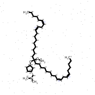 CCCCC/C=C\C/C=C\CCCCCCCCC(CCCCCCCC/C=C\C/C=C\CCCCC)(ON)O[C@@H]1CC[C@@H](CN(C)C)C1